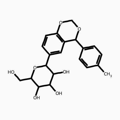 Cc1ccc(C2OCOc3ccc(C4OC(CO)C(O)C(O)C4O)cc32)cc1